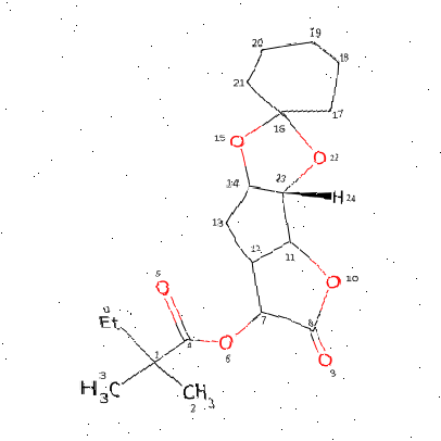 CCC(C)(C)C(=O)OC1C(=O)OC2C1CC1OC3(CCCCC3)O[C@@H]12